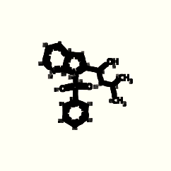 CC(C)CC(O)c1cc2cccnc2n1S(=O)(=O)c1ccccc1